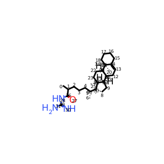 CC(CCC[C@@H](C)[C@H]1CC[C@H]2[C@@H]3CC=C4CCCC[C@]4(C)[C@H]3CC[C@]12C)C(=O)NC(=N)N